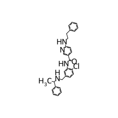 CC(NCc1ccc(Cl)c(NC(=O)c2ccc(NCCc3ccccc3)nc2)c1)c1ccccc1